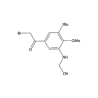 COc1c(NCC#N)cc(C(=O)CBr)cc1C(C)(C)C